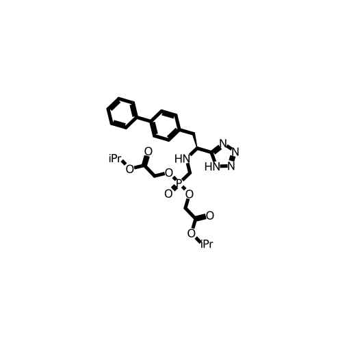 CC(C)OC(=O)COP(=O)(CN[C@@H](Cc1ccc(-c2ccccc2)cc1)c1nnn[nH]1)OCC(=O)OC(C)C